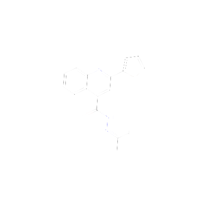 CC/C(C)=N\NC(=O)c1cc(-c2cccs2)nc2ccccc12